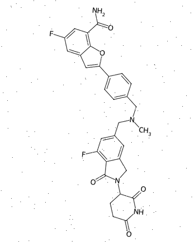 CN(Cc1ccc(-c2cc3cc(F)cc(C(N)=O)c3o2)cc1)Cc1cc(F)c2c(c1)CN(C1CCC(=O)NC1=O)C2=O